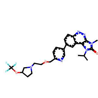 CC(C)n1c(=O)n(C)c2nnc3ccc(-c4ccc(COCCN5CCC(OC(F)(F)F)C5)nc4)cc3c21